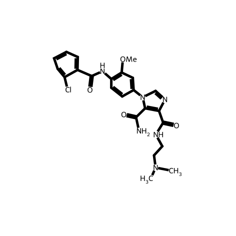 COc1cc(-n2cnc(C(=O)NCCN(C)C)c2C(N)=O)ccc1NC(=O)c1ccccc1Cl